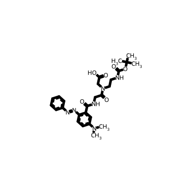 CN(C)c1ccc(/N=N/c2ccccc2)c(C(=O)NCC(=O)N(CCNC(=O)OC(C)(C)C)CC(=O)O)c1